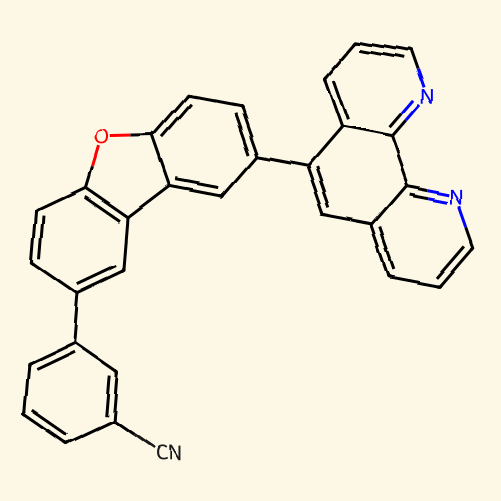 N#Cc1cccc(-c2ccc3oc4ccc(-c5cc6cccnc6c6ncccc56)cc4c3c2)c1